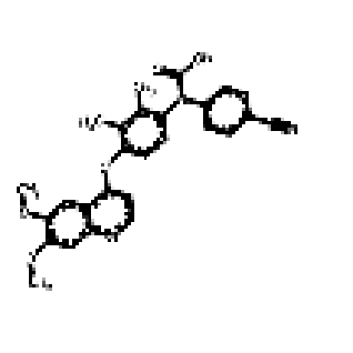 COc1cc2nccc(Oc3ccc(N(C(=O)O)c4ccc(C#N)cc4)c(C)c3C)c2cc1OC